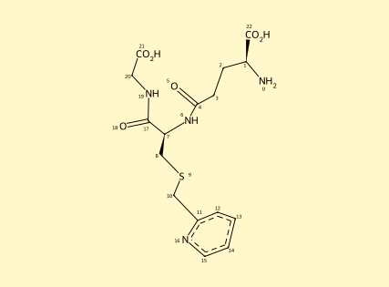 N[C@@H](CCC(=O)N[C@@H](CSCc1ccccn1)C(=O)NCC(=O)O)C(=O)O